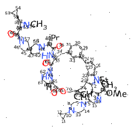 CCn1c(-c2cc(N3CCN(C4CC4)CC3)cnc2[C@H](C)OC)c2c3cc(ccc31)-c1cccc(c1)C[C@H](NC(=O)[C@H](C(C)C)N1CC[C@]3(CCN(C(=O)[C@H]4[C@@H](C5CC5)N4C)C3)C1)C(=O)N1CCC[C@H](N1)C(=O)OCC(C)(C)C2